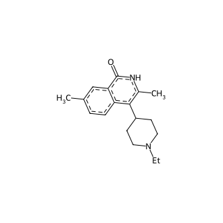 CCN1CCC(c2c(C)[nH]c(=O)c3cc(C)ccc23)CC1